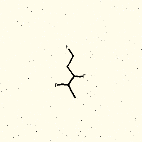 [CH2]C(F)C(F)CCF